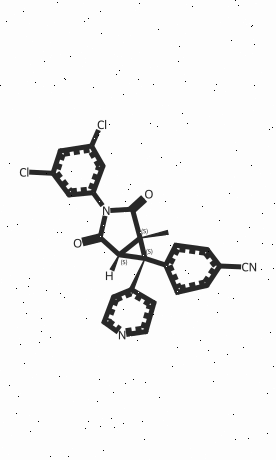 C[C@]12C(=O)N(c3cc(Cl)cc(Cl)c3)C(=O)[C@H]1[C@@]2(c1ccncc1)c1ccc(C#N)cc1